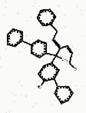 CC(C(/C=C\CS)=C/Cc1ccccc1)(c1ccc(-c2ccccc2)cc1)c1ccc(S)c(-c2ccccc2)c1